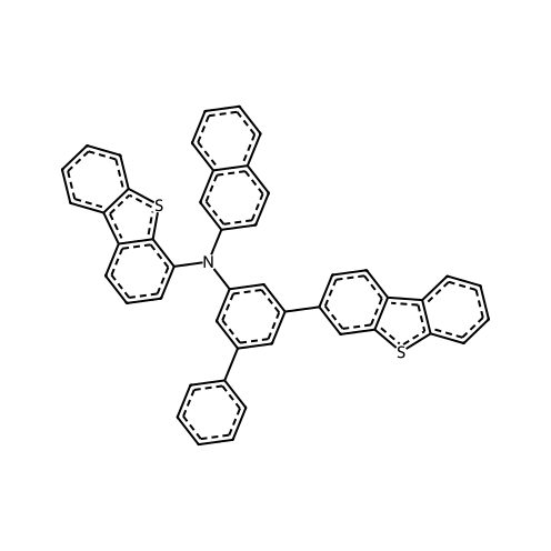 c1ccc(-c2cc(-c3ccc4c(c3)sc3ccccc34)cc(N(c3ccc4ccccc4c3)c3cccc4c3sc3ccccc34)c2)cc1